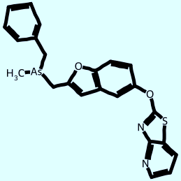 C[As](Cc1ccccc1)Cc1cc2cc(Oc3nc4ncccc4s3)ccc2o1